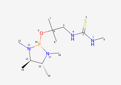 CNC(=S)NCC(C)(C)OP1N(C)[C@H](C)[C@@H](C)N1C